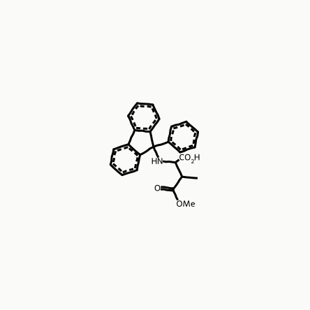 COC(=O)C(C)C(NC1(c2ccccc2)c2ccccc2-c2ccccc21)C(=O)O